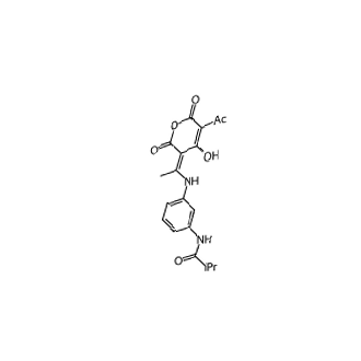 CC(=O)C1=C(O)C(=C(C)Nc2cccc(NC(=O)C(C)C)c2)C(=O)OC1=O